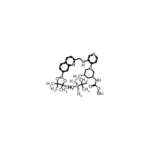 C[C@H]1CN(c2ccncc2NCc2ccc3ccc(B4OC(C)(C)C(C)(C)O4)cc3n2)C[C@@H](NC(=O)OC(C)(C)C)[C@@H]1CC(C)(C)[Si](C)(C)O